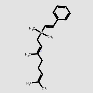 CC(C)=CCC/C(C)=C/C[Si](C)(C)C=Cc1ccccc1